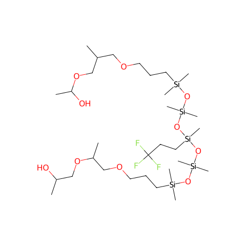 CC(O)COC(C)COCCC[Si](C)(C)O[Si](C)(C)O[Si](C)(CCC(F)(F)F)O[Si](C)(C)O[Si](C)(C)CCCOCC(C)COC(C)O